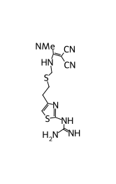 CNC(NCSCCc1csc(NC(=N)N)n1)=C(C#N)C#N